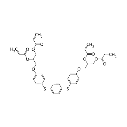 C=CC(=O)OCC(COc1ccc(Sc2ccc(Sc3ccc(OCC(COC(=O)C=C)OC(=O)C=C)cc3)cc2)cc1)OC(=O)C=C